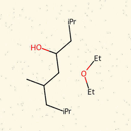 CC(C)CC(C)CC(O)CC(C)C.CCOCC